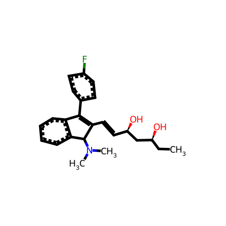 CC[C@H](O)C[C@H](O)/C=C/C1=C(c2ccc(F)cc2)c2ccccc2C1N(C)C